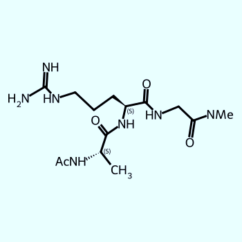 CNC(=O)CNC(=O)[C@H](CCCNC(=N)N)NC(=O)[C@H](C)NC(C)=O